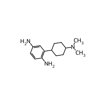 CN(C)C1CCC(c2cc(N)ccc2N)CC1